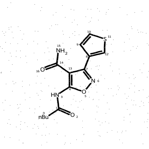 CCCCC(=O)Nc1onc(-c2ccsc2)c1C(N)=O